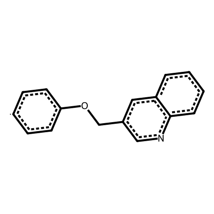 [c]1ccc(OCc2cnc3ccccc3c2)cc1